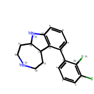 Fc1cccc(-c2cccc3c2C2CCNCCC2N3)c1F